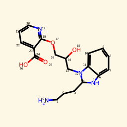 NCCCC1Nc2ccccc2N1CC(O)COc1ncccc1C(=O)O